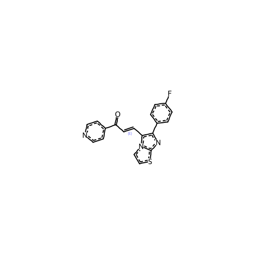 O=C(/C=C/c1c(-c2ccc(F)cc2)nc2sccn12)c1ccncc1